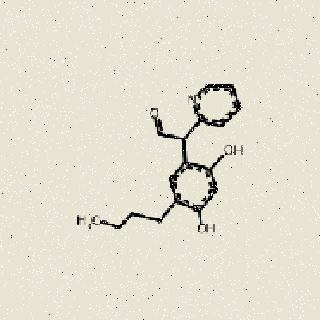 CCCCc1cc(C(C=O)c2ccccn2)c(O)cc1O